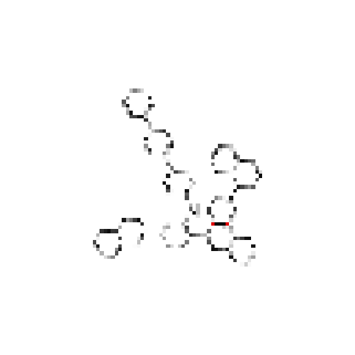 c1ccc(-c2ccc(-c3ccc(N(c4cccc(-c5cccc6ccccc56)c4)c4cc(-c5ccc6ccccc6c5)ccc4-c4ccc5ccccc5c4)cc3)cc2)cc1